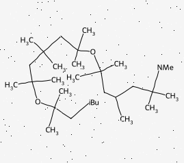 CCC(C)CC(C)(C)OC(C)(C)CC(C)(C)CC(C)(C)OC(C)(C)CC(C)CC(C)(C)NC